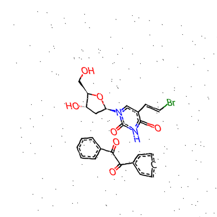 O=C(C(=O)c1ccccc1)c1ccccc1.O=c1[nH]c(=O)n([C@H]2C[C@H](O)[C@@H](CO)O2)cc1/C=C/Br